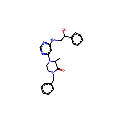 CC1C(=O)N(Cc2ccccc2)CCN1c1cc(NCC(O)c2ccccc2)ncn1